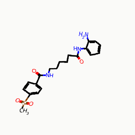 CS(=O)(=O)c1ccc(C(=O)NCCCCCC(=O)Nc2ccccc2N)cc1